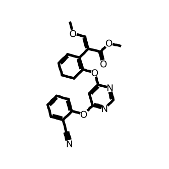 CO/C=C(/C(=O)OC)C1=C(Oc2cc(Oc3ccccc3C#N)ncn2)CCC=C1